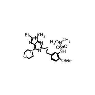 CCc1nc2c(N3CCOCC3)nc(SCc3ccc(OC)c(NS(=O)(=O)N(C)C)c3)nc2n1C